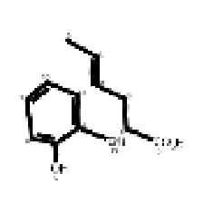 CC=CCCC(=O)O.Oc1ccccc1O